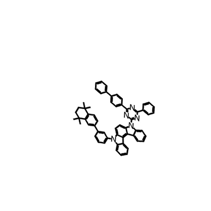 CC1(C)CCC(C)(C)c2cc(-c3cccc(-n4c5ccccc5c5c6c7ccccc7n(-c7nc(-c8ccccc8)nc(-c8ccc(-c9ccccc9)cc8)n7)c6ccc54)c3)ccc21